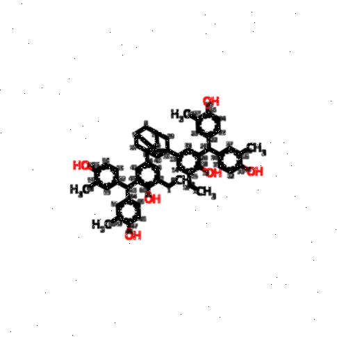 CCc1cc(C23CC4CC(C2)CC(c2cc(CC)c(O)c(C(c5ccc(O)c(C)c5)c5ccc(O)c(C)c5)c2)(C4)C3)cc(C(c2ccc(O)c(C)c2)c2ccc(O)c(C)c2)c1O